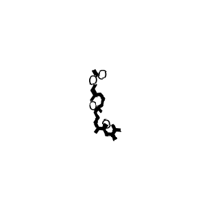 C=C(CC(=O)C(C)CCCC1(C)CCC/C(=C\COC(C)=O)CO1)C(C)C